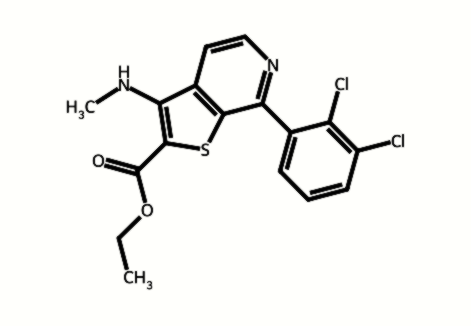 CCOC(=O)c1sc2c(-c3cccc(Cl)c3Cl)nccc2c1NC